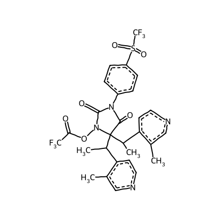 Cc1cnccc1C(C)C1(C(C)c2ccncc2C)C(=O)N(c2ccc(S(=O)(=O)C(F)(F)F)cc2)C(=O)N1OC(=O)C(F)(F)F